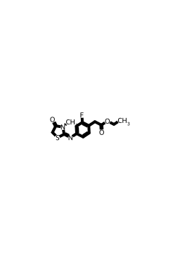 CCOC(=O)Cc1ccc(N=C2SCC(=O)N2C)cc1F